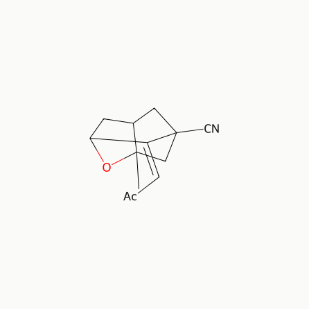 CC(=O)/C=C1\C2CC3CC1(C#N)CC3(C)O2